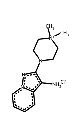 C[N+]1(C)CCN(c2nn3ccccc3c2N)CC1.[Cl-]